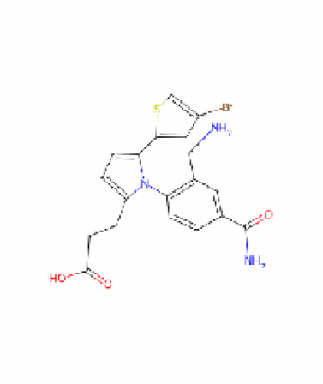 NCc1cc(C(N)=O)ccc1-n1c(CCC(=O)O)ccc1-c1cc(Br)cs1